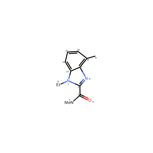 CCn1c(C(=O)NC)nc2c(C)cccc21